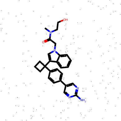 CN(CCO)C(=O)Cn1cc(C2(c3ccc(-c4cnc(N)nc4)cc3)CCC2)c2ccccc21